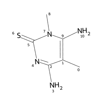 Cc1c(N)nc(=S)n(C)c1N